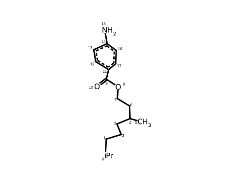 CC(C)CCCC(C)CCOC(=O)c1ccc(N)cc1